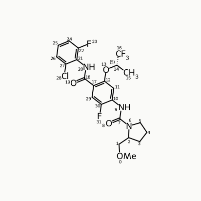 COCC1CCCN1C(=O)Nc1cc(O[C@@H](C)C(F)(F)F)c(C(=O)Nc2c(F)cccc2Cl)cc1F